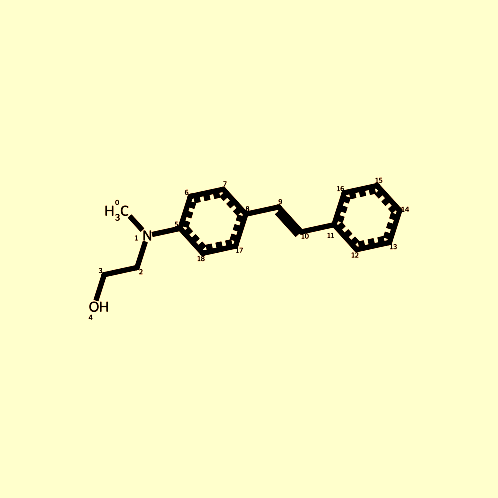 CN(CCO)c1ccc(/C=C/c2ccccc2)cc1